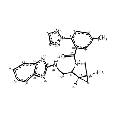 Cc1ccc(-n2nccn2)c(C(=O)N2C[C@H]3C[C@H]3[C@H]2CNc2nc3ccccc3s2)c1